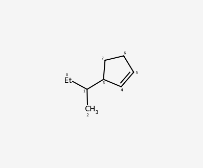 CCC(C)C1C=CCC1